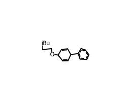 CC[C@H](C)CCO[C]1C=CC(c2ccccc2)C=C1